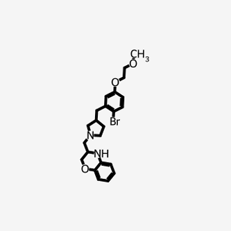 COCCOc1ccc(Br)c(CC2CCN(CC3COc4ccccc4N3)C2)c1